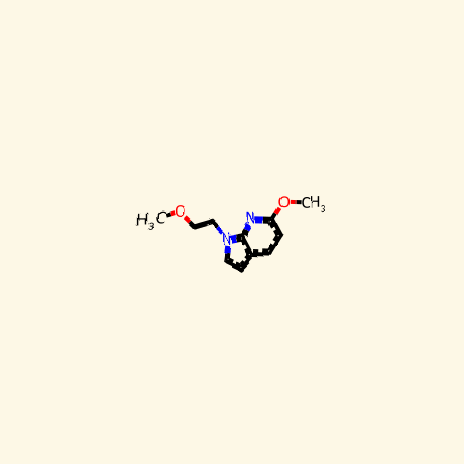 COCCn1ccc2ccc(OC)nc21